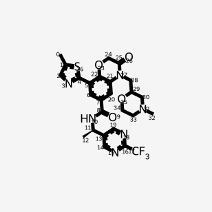 Cc1cnc(-c2cc(C(=O)N[C@H](C)c3cnc(C(F)(F)F)nc3)cc3c2OCC(=O)N3CC2CN(C)CCO2)s1